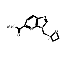 COC(=O)c1ccc2ncn(C[C@@H]3CCO3)c2n1